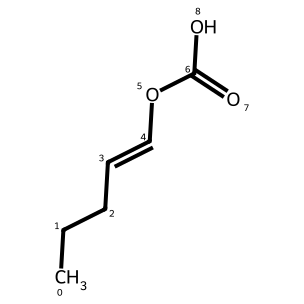 CCCC=COC(=O)O